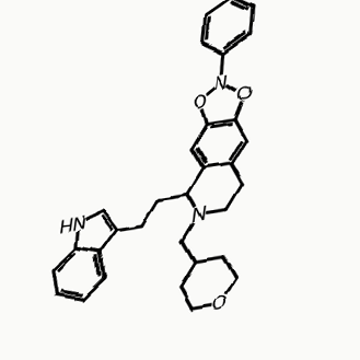 c1ccc(N2Oc3cc4c(cc3O2)C(CCc2c[nH]c3ccccc23)N(CC2CCOCC2)CC4)cc1